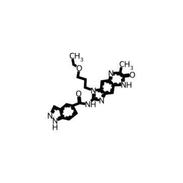 CCOCCCn1c(NC(=O)c2ccc3[nH]ncc3c2)nc2cc3[nH]c(=O)c(C)nc3cc21